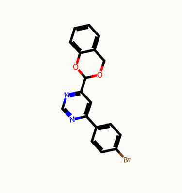 Brc1ccc(-c2cc(C3OCc4ccccc4O3)ncn2)cc1